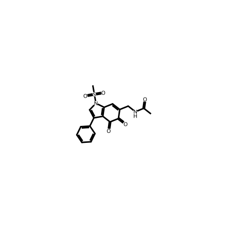 CC(=O)NCC1=Cc2c(c(-c3ccccc3)cn2S(C)(=O)=O)C(=O)C1=O